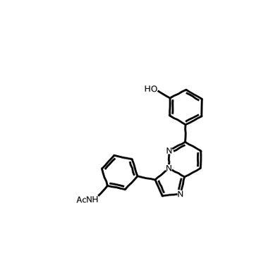 CC(=O)Nc1cccc(-c2cnc3ccc(-c4cccc(O)c4)nn23)c1